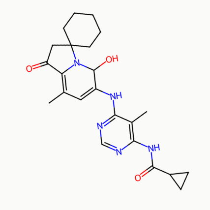 CC1=C2C(=O)CC3(CCCCC3)N2C(O)C(Nc2ncnc(NC(=O)C3CC3)c2C)=C1